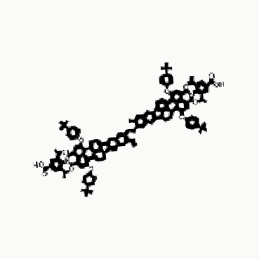 C=Cc1cc2cc3c(cc2cc1CCc1cc2cc4c(cc2cc1C)-c1ccc2c5c(Oc6ccc(C(C)(C)C)cc6)cc6c7c(cc(Oc8ccc(C(C)(C)C)cc8)c(c8ccc-4c1c28)c75)C(=O)N(c1c(C(C)C)cc(C(=O)O)cc1C(C)C)C6=O)C1=CC=C2c4c(Oc5ccc(C(C)(C)C)cc5)cc5c6c(cc(Oc7ccc(C(C)(C)C)cc7)c(c46)C4=CC=C3C1C42)C(=O)N(c1c(C(C)C)cc(C(=O)O)cc1C(C)C)C5=O